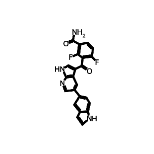 NC(=O)c1ccc(F)c(C(=O)c2c[nH]c3ncc(-c4ccc5[nH]ccc5c4)cc23)c1F